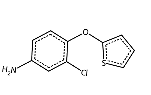 Nc1ccc(Oc2cccs2)c(Cl)c1